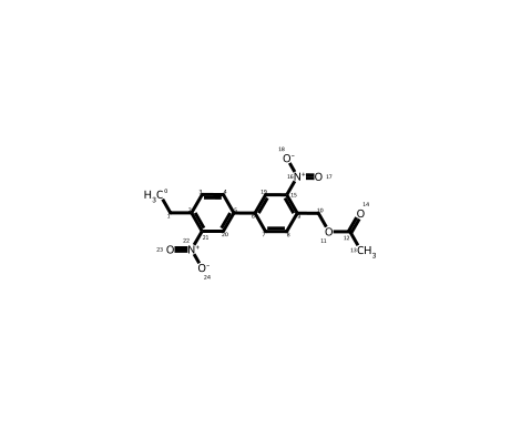 CCc1ccc(-c2ccc(COC(C)=O)c([N+](=O)[O-])c2)cc1[N+](=O)[O-]